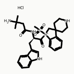 CC(C)(N)CC(=O)N[C@H](Cc1c[nH]c2ccccc12)C(=O)[N+]1(S(C)(=O)=O)CC2(CCNCC2)c2ccccc21.Cl